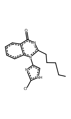 CCCCCc1nc(=O)c2ccccc2n1-c1c[nH]c(Cl)n1